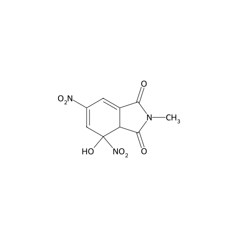 CN1C(=O)C2=CC([N+](=O)[O-])=CC(O)([N+](=O)[O-])C2C1=O